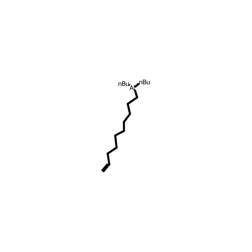 C=CCCCCCCC[CH2][Al]([CH2]CCC)[CH2]CCC